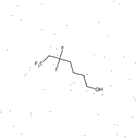 OCCCCC(F)(F)CC(F)(F)F